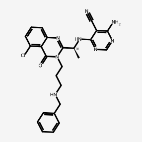 C[C@H](Nc1ncnc(N)c1C#N)c1nc2cccc(Cl)c2c(=O)n1CCCNCc1ccccc1